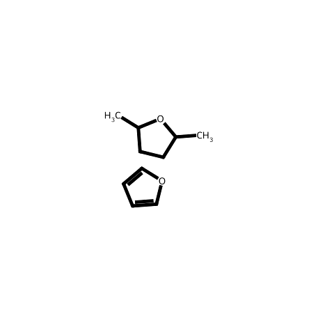 CC1CCC(C)O1.c1ccoc1